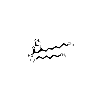 CCCCCCCC.CCCCCCCCC(=CC(=O)O)OCC